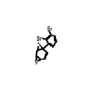 Brc1cccc(C23C=CC4SC4C2S3)c1Br